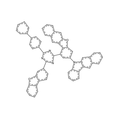 c1ccc(-c2ccc(-c3nc(-c4ccc5c(c4)oc4ccccc45)nc(-c4cc(-n5c6ccccc6c6cc7ccccc7cc65)cc5oc6cc7ccccc7cc6c45)n3)cc2)cc1